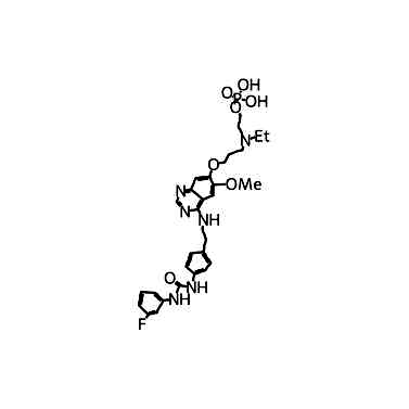 CCN(CCCOc1cc2ncnc(NCCc3ccc(NC(=O)Nc4cccc(F)c4)cc3)c2cc1OC)CCOP(=O)(O)O